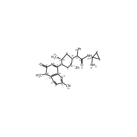 CC[C@@H]1CN(c2nc(=O)n(C)c3ccc(C#N)nc23)[C@@H](C)CN1C(C(=O)NC1(N)CC1)C(C)C